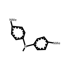 CNc1ccc(N(C)c2ccc(NC)cc2)cc1